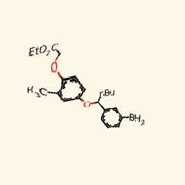 Bc1cccc(C(CCCC)Oc2ccc(OCC(=O)OCC)c(C)c2)c1